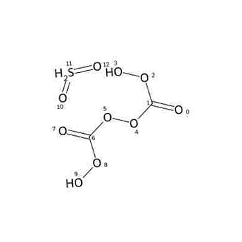 O=C(OO)OOC(=O)OO.O=[SH2]=O